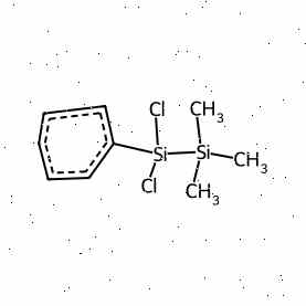 C[Si](C)(C)[Si](Cl)(Cl)c1ccccc1